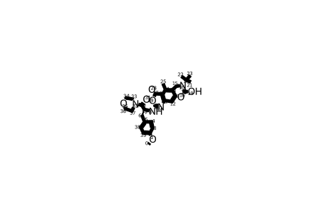 COc1ccc(C[C@H](Nc2nc3ccc(CN(C(=O)O)C(C)(C)C)c(C)c3c(=O)o2)C(=O)N2CCOCC2)cc1